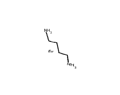 NCCCCN.[Eu]